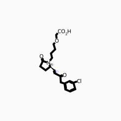 O=C(O)COCCCCN1C(=O)CC[C@@H]1/C=C/C(=O)Cc1cccc(Cl)c1